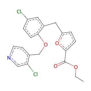 CCOC(=O)c1ccc(Cc2cc(Cl)ccc2OCc2ccncc2Cl)o1